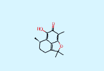 CC1=C2OC(C)(C)C3=C2C(=C(O)C1=O)[C@H](C)CC3